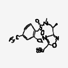 C[C@@H](c1noc(C(C)(C)C)n1)N(C)S(=O)(=O)c1ccc(C(F)(F)F)cc1Cl